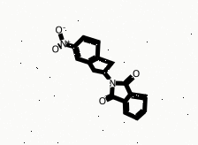 O=C1c2ccccc2C(=O)N1C1Cc2ccc([N+](=O)[O-])cc2C1